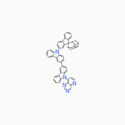 C1=C2CC3CC1CC(C2)C31c2ccccc2-c2ccc(-n3c4ccccc4c4cc(-c5ccc6c(c5)c5ccccc5n6-c5ccnc6cncnc56)ccc43)cc21